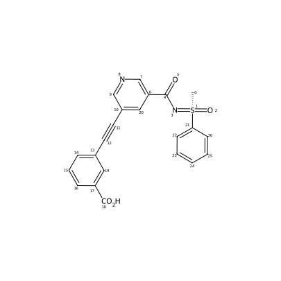 C[S@@](=O)(=NC(=O)c1cncc(C#Cc2cccc(C(=O)O)c2)c1)c1ccccc1